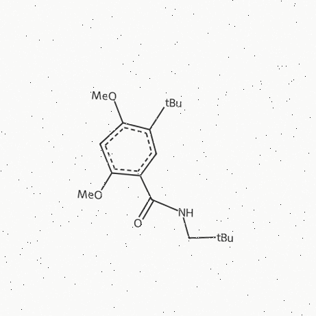 COc1cc(OC)c(C(C)(C)C)cc1C(=O)NCC(C)(C)C